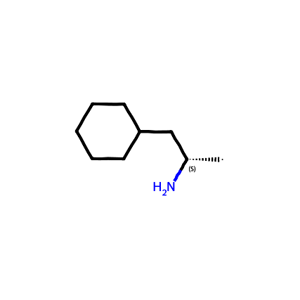 [CH2][C@H](N)CC1CCCCC1